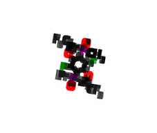 CC(C)P(C)(=O)c1c(F)c(OCC(F)(F)F)c(P(=O)(C(C)C)C(C)C)c(F)c1OCC(F)(F)F